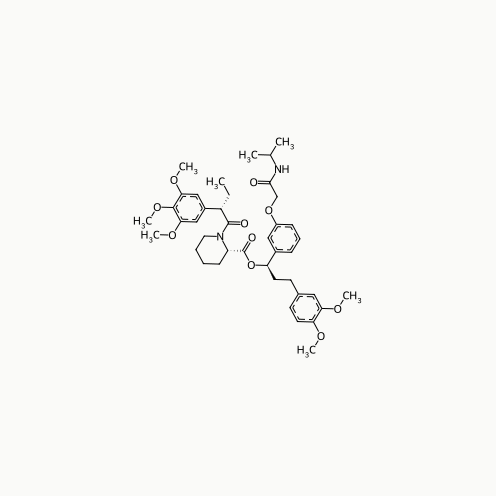 CC[C@H](C(=O)N1CCCC[C@H]1C(=O)O[C@H](CCc1ccc(OC)c(OC)c1)c1cccc(OCC(=O)NC(C)C)c1)c1cc(OC)c(OC)c(OC)c1